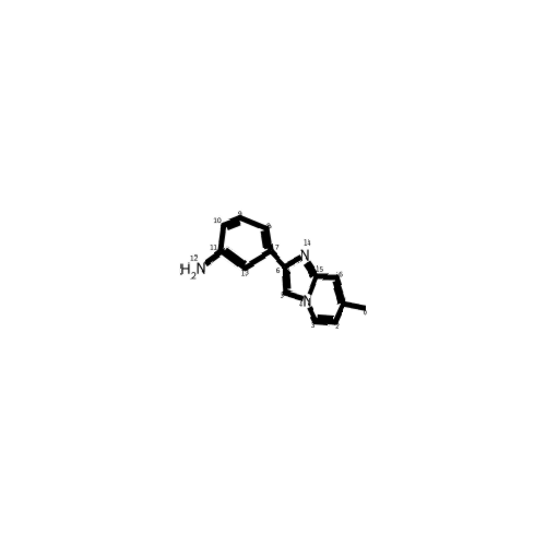 Cc1ccn2cc(-c3cccc(N)c3)nc2c1